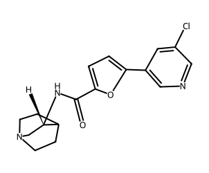 O=C(N[C@H]1CN2CCC1CC2)c1ccc(-c2cncc(Cl)c2)o1